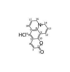 Cl.O=c1ccc2cc3c4c(c2o1)C=CCN4CC=C3